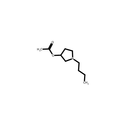 CCCCN1CCC(OC(C)=O)C1